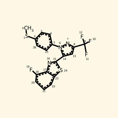 CSc1ccc(-n2nc(C(F)(F)F)cc2-c2nc3c(F)cccc3s2)cc1